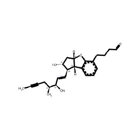 CC#CC[C@H](C)[C@H](O)/C=C/[C@@H]1[C@H]2c3cccc(CCCC=O)c3O[C@H]2C[C@H]1O